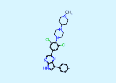 CN1CCC(N2CCN(c3c(Cl)cc(-c4cnc5[nH]cc(-c6cc[c]cc6)c5n4)cc3Cl)CC2)CC1